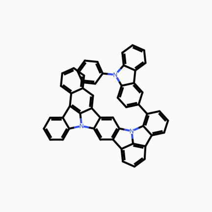 c1ccc(-n2c3ccccc3c3cc(-c4cccc5c6cccc7c8cc9c(cc8n(c45)c76)c4cc5ccccc5c5c6ccccc6n9c45)ccc32)cc1